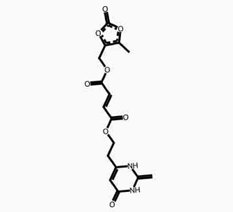 C=C1NC(=O)C=C(CCOC(=O)/C=C/C(=O)OCc2oc(=O)oc2C)N1